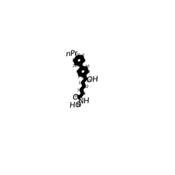 CCCc1ccc(-c2ccc([C@H](O)CCCCC(=O)NO)cc2)cc1